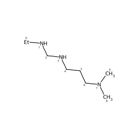 CCNCNCCCN(C)C